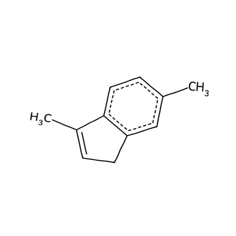 CC1=CCc2cc(C)ccc21